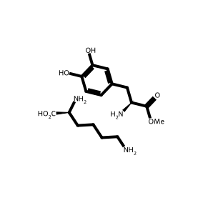 COC(=O)[C@@H](N)Cc1ccc(O)c(O)c1.NCCCC[C@H](N)C(=O)O